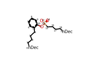 CCCCCCCCCCCCCCc1ccccc1OS(=O)(=O)CCCCCCCCCCCCCC